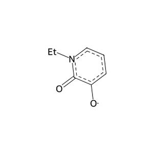 CCn1cccc([O])c1=O